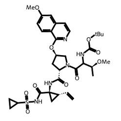 C=C[C@@H]1C[C@]1(NC(=O)[C@@H]1C[C@@H](Oc2nccc3cc(OC)ccc23)CN1C(=O)C(NC(=O)OC(C)(C)C)[C@H](C)OC)C(=O)NS(=O)(=O)C1CC1